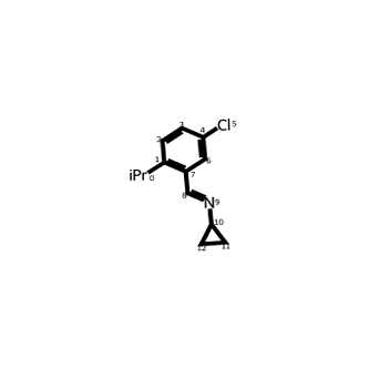 CC(C)c1ccc(Cl)cc1/C=N/C1CC1